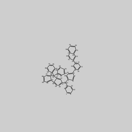 c1ccc(N(c2ccc(-c3cccc(-c4ccc5ccccc5c4)c3)cc2)c2ccc3c(c2)C(c2ccccc2)(c2ccccc2)c2ccccc2-3)cc1